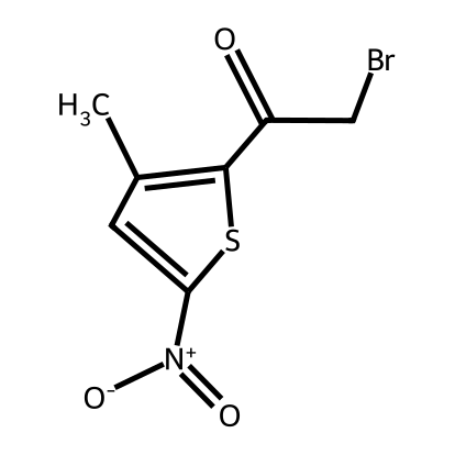 Cc1cc([N+](=O)[O-])sc1C(=O)CBr